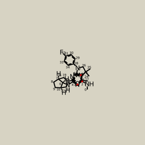 CNc1nc(N[C@H]2[C@@H]3CC[C@H]2CN(c2nnc(C)o2)C3)nc2c1C(C)(C)CN2c1ccc(F)cc1